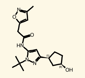 Cc1cc(CC(=O)Nc2cc([C@H]3CC[C@@H](O)C3)nn2C(C)(C)C)on1